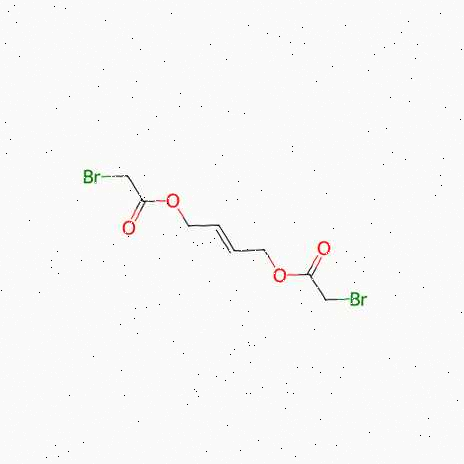 O=C(CBr)OC/C=C/COC(=O)CBr